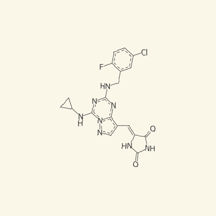 O=C1NC(=O)/C(=C/c2cnn3c(NC4CC4)nc(NCc4cc(Cl)ccc4F)nc23)N1